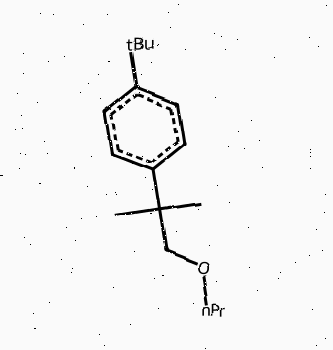 CCCOCC(C)(C)c1ccc(C(C)(C)C)cc1